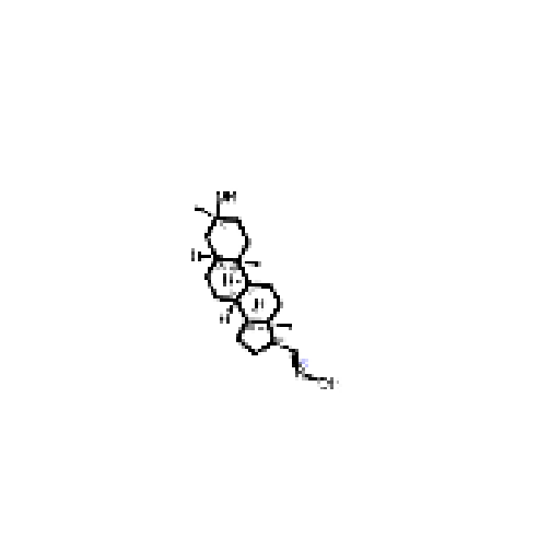 C[C@@]1(O)CC[C@@]2(C)[C@H](CC[C@@H]3[C@@H]2CC[C@]2(C)[C@@H](/C=N/O)CC[C@@H]32)C1